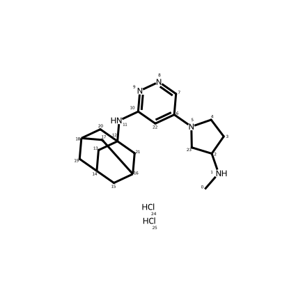 CNC1CCN(c2cnnc(NC34CC5CC(CC(C5)C3)C4)c2)C1.Cl.Cl